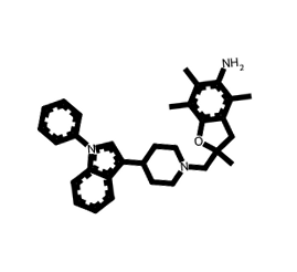 Cc1c(C)c2c(c(C)c1N)CC(C)(CN1CCC(c3cn(-c4ccccc4)c4ccccc34)CC1)O2